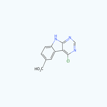 O=C(O)c1ccc2[nH]c3ncnc(Cl)c3c2c1